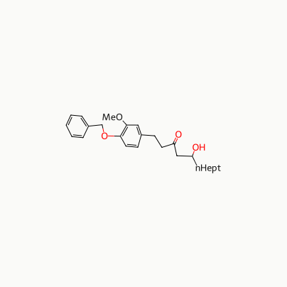 CCCCCCCC(O)CC(=O)CCc1ccc(OCc2ccccc2)c(OC)c1